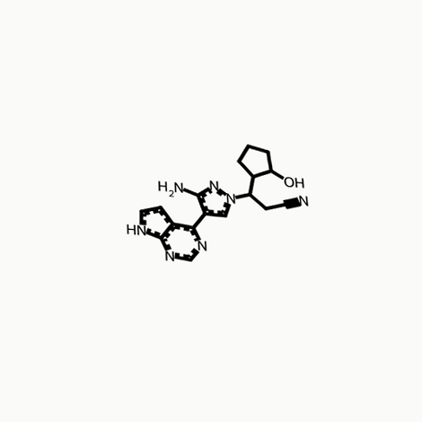 N#CCC(C1CCCC1O)n1cc(-c2ncnc3[nH]ccc23)c(N)n1